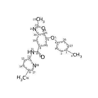 Cc1ccc(Oc2cc(C(=O)Nc3ccc(C)cn3)cc3nc(C)oc23)cc1